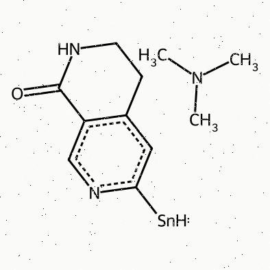 CN(C)C.O=C1NCCc2c[c]([SnH])ncc21